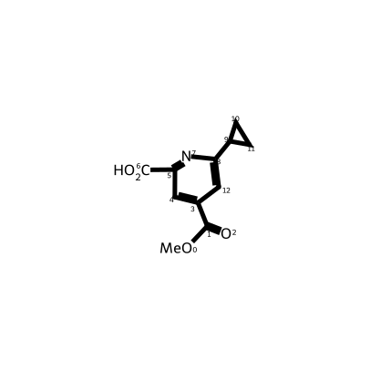 COC(=O)c1cc(C(=O)O)nc(C2CC2)c1